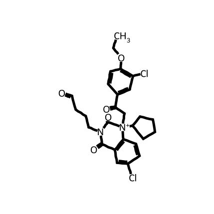 CCOc1ccc(C(=O)C[N+]2(C3CCCC3)C(=O)N(CCCC=O)C(=O)c3cc(Cl)ccc32)cc1Cl